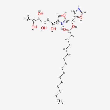 CCCCCCCCCCCCCCCC(=O)OC(c1cnco1)c1nc(C(O)CC(O)C(O)C(C)O)co1